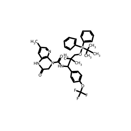 Cc1cnc2c(c1)NC(=O)CN2C(=O)NC(c1ccc(OC(F)(F)F)cc1)C(C)(C)CO[Si](c1ccccc1)(c1ccccc1)C(C)(C)C